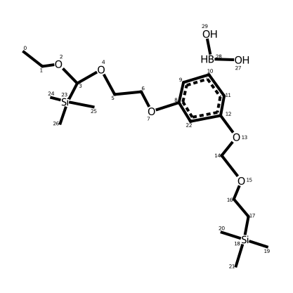 CCOC(OCCOc1cccc(OCOCC[Si](C)(C)C)c1)[Si](C)(C)C.OBO